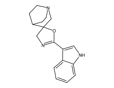 c1ccc2c(C3=NCC4(CN5CCC4CC5)O3)c[nH]c2c1